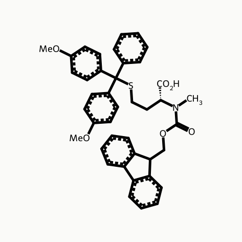 COc1ccc(C(SCC[C@H](C(=O)O)N(C)C(=O)OCC2c3ccccc3-c3ccccc32)(c2ccccc2)c2ccc(OC)cc2)cc1